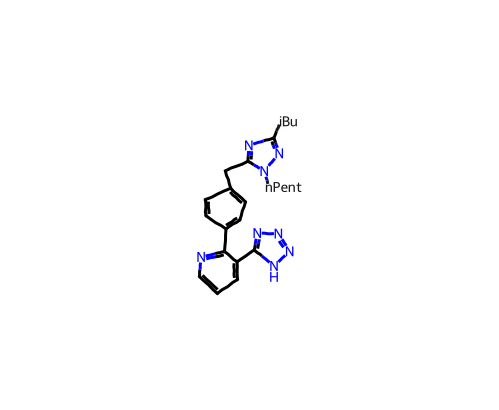 CCCCCn1nc(C(C)CC)nc1Cc1ccc(-c2ncccc2-c2nnn[nH]2)cc1